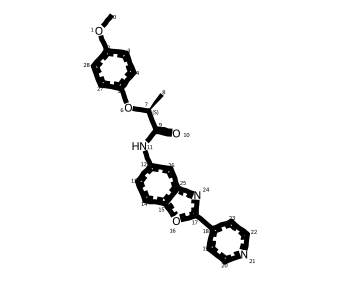 COc1ccc(O[C@@H](C)C(=O)Nc2ccc3oc(-c4ccncc4)nc3c2)cc1